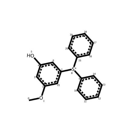 COc1cc(O)cc([S+](c2ccccc2)c2ccccc2)c1